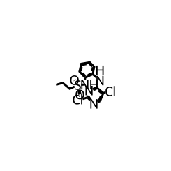 CCCS(=O)(=O)Nc1ccccc1Nc1nc(Cl)ncc1Cl